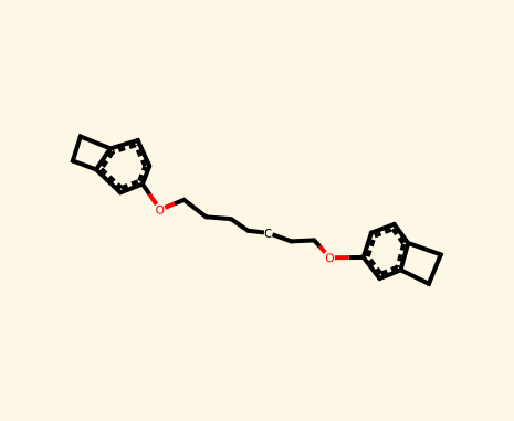 c1cc2c(cc1OCCCCCCCOc1ccc3c(c1)CC3)CC2